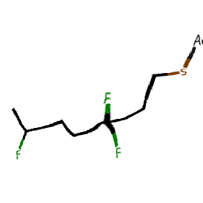 CC(=O)SCCC(F)(F)CCC(C)F